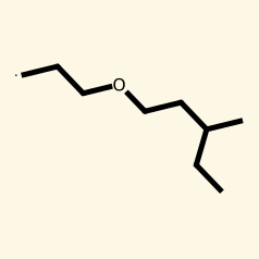 [CH2]CCOCCC(C)CC